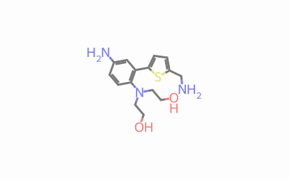 NCc1ccc(-c2cc(N)ccc2N(CCO)CCO)s1